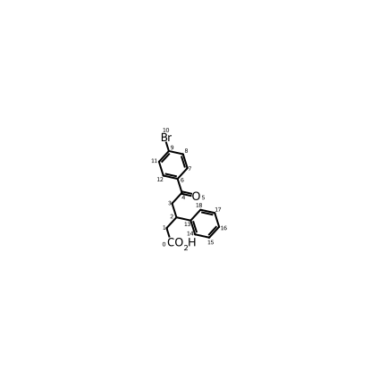 O=C(O)CC(CC(=O)c1ccc(Br)cc1)c1ccccc1